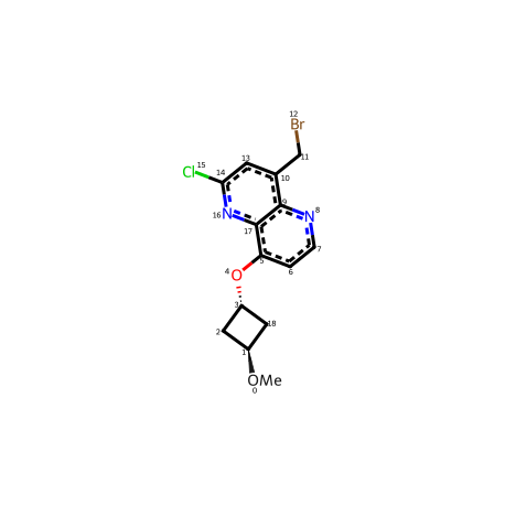 CO[C@H]1C[C@H](Oc2ccnc3c(CBr)cc(Cl)nc23)C1